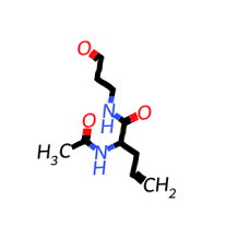 C=CCC(NC(C)=O)C(=O)NCCC=O